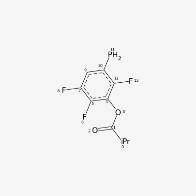 CC(C)C(=O)Oc1c(F)c(F)cc(P)c1F